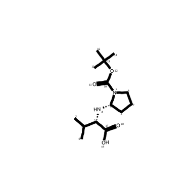 CC(C)[C@H](N[C@H]1CCCN1C(=O)OC(C)(C)C)C(=O)O